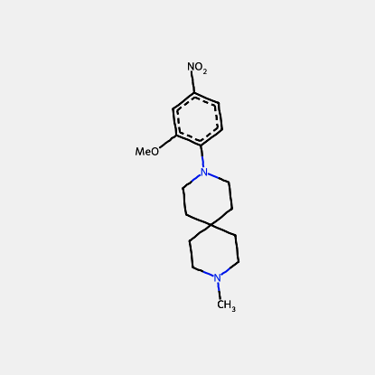 COc1cc([N+](=O)[O-])ccc1N1CCC2(CCN(C)CC2)CC1